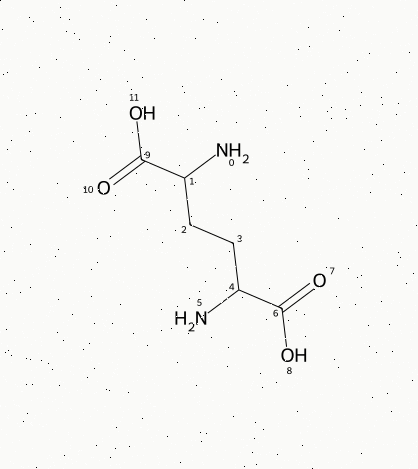 NC(CCC(N)C(=O)O)C(=O)O